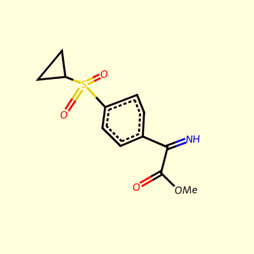 COC(=O)C(=N)c1ccc(S(=O)(=O)C2CC2)cc1